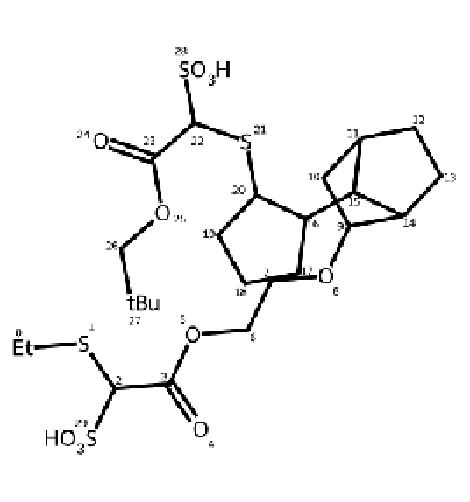 CCSC(C(=O)OCCOC1CC2CCC1C2C1CCCC1SC(C(=O)OCC(C)(C)C)S(=O)(=O)O)S(=O)(=O)O